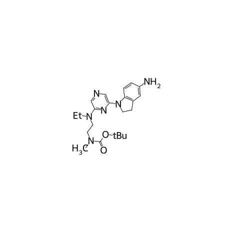 CCN(CCN(C)C(=O)OC(C)(C)C)c1cncc(N2CCc3cc(N)ccc32)n1